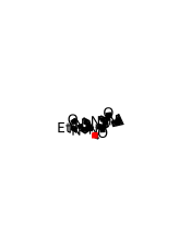 CCn1nc2cc(N3CCOc4cc(C(=O)N5CCC5)cnc43)ccn2c1=O